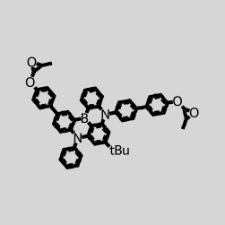 CC1OC1Oc1ccc(-c2ccc(N3c4ccccc4B4c5cc(-c6ccc(OC7OC7C)cc6)ccc5N(c5ccccc5)c5cc(C(C)(C)C)cc3c54)cc2)cc1